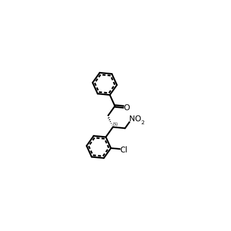 O=C(C[C@H](C[N+](=O)[O-])c1ccccc1Cl)c1ccccc1